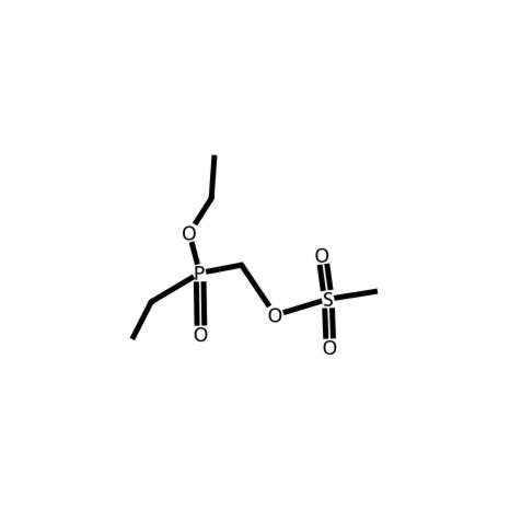 CCOP(=O)(CC)COS(C)(=O)=O